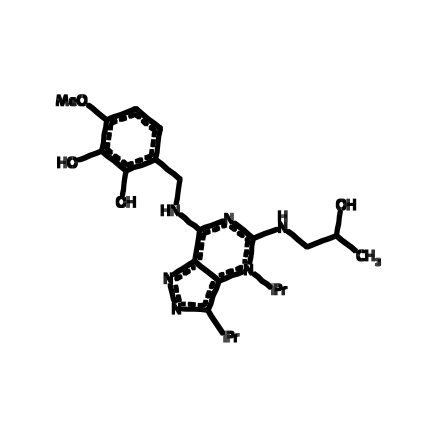 COc1ccc(CNc2nc(NCC(C)O)n(C(C)C)c3c(C(C)C)nnc2-3)c(O)c1O